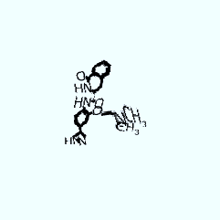 CN(C)CCOc1cc(-c2cn[nH]c2)ccc1NC(=O)[C@H]1Cc2ccccc2C(=O)N1